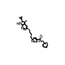 Cc1c(C2CC2)[nH]c2nnc(CCCCn3cc(C(=O)NCc4ccccn4)nn3)cc12